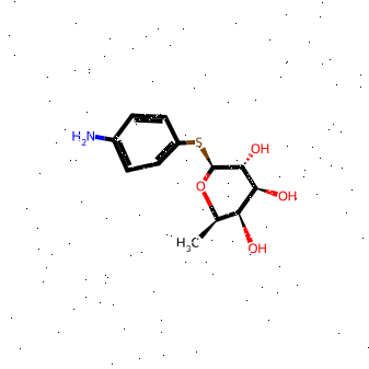 C[C@H]1O[C@@H](Sc2ccc(N)cc2)[C@H](O)[C@@H](O)[C@H]1O